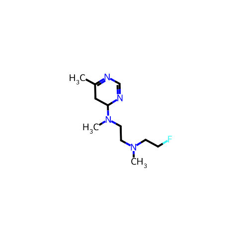 CC1=NC=NC(N(C)CCN(C)CCF)C1